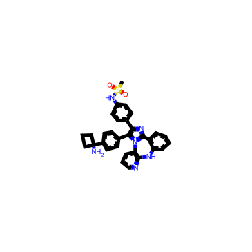 CS(=O)(=O)Nc1ccc(-c2nc3n(c2-c2ccc(C4(N)CCC4)cc2)-c2cccnc2Nc2ccccc2-3)cc1